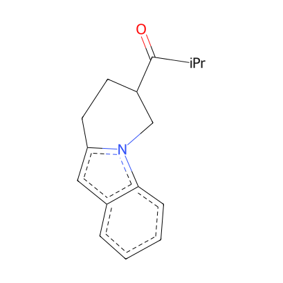 CC(C)C(=O)C1CCc2cc3ccccc3n2C1